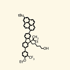 C=C(CC)C1(CCCCCO)c2cc(-c3ccc(OCC)c(C(F)(F)F)c3)ccc2-c2ccc(-c3ccc4ccc5cc(C(C)(C)C)cc6ccc3c4c56)cc21